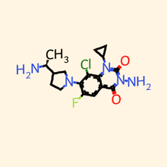 C[C@H](N)C1CCN(c2c(F)cc3c(=O)n(N)c(=O)n(C4CC4)c3c2Cl)C1